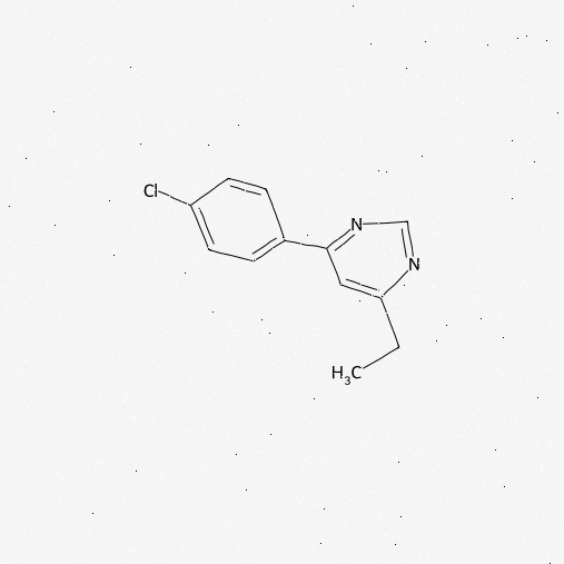 CCc1cc(-c2ccc(Cl)cc2)ncn1